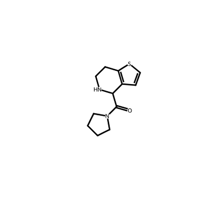 O=C(C1NCCc2sccc21)N1CCCC1